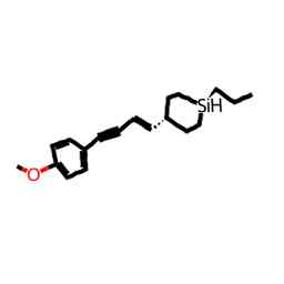 CCC[Si@H]1CC[C@H](C=CC#Cc2ccc(OC)cc2)CC1